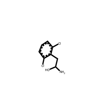 NC(O)Cc1c(Cl)cccc1Cl